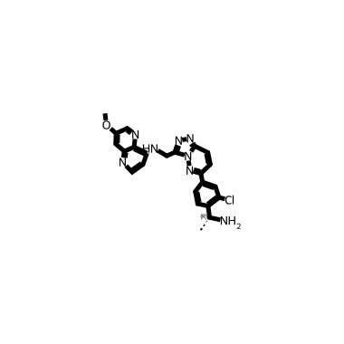 COc1cnc2c(NCc3nnc4ccc(-c5ccc([C@@H](C)N)c(Cl)c5)nn34)ccnc2c1